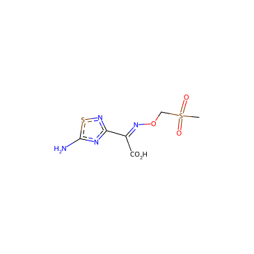 CS(=O)(=O)CON=C(C(=O)O)c1nsc(N)n1